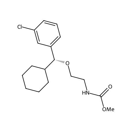 COC(=O)NCCO[C@@H](c1cccc(Cl)c1)C1CCCCC1